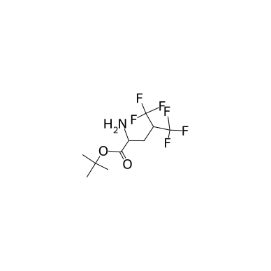 CC(C)(C)OC(=O)C(N)CC(C(F)(F)F)C(F)(F)F